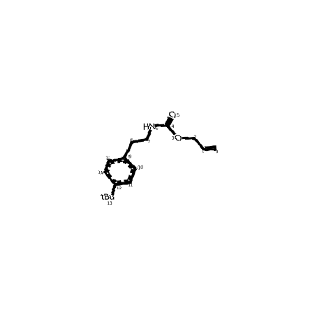 C=CCOC(=O)NCCc1ccc(C(C)(C)C)cc1